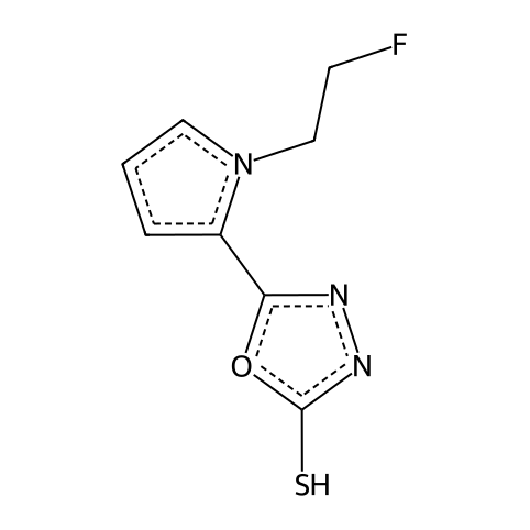 FCCn1cccc1-c1nnc(S)o1